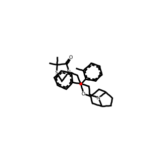 Cc1ccccc1C(OC1CC2CCC(C1)N2CCCCN1CSC(C)(C)C1=O)c1ccccc1